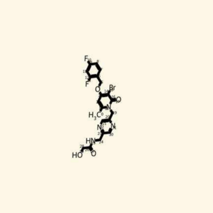 Cc1cc(OCc2ccc(F)cc2F)c(Br)c(=O)n1Cc1cnc(CNC(=O)CO)cn1